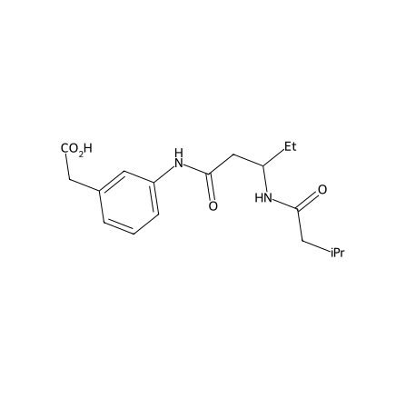 CCC(CC(=O)Nc1cccc(CC(=O)O)c1)NC(=O)CC(C)C